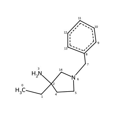 CCC1(N)CCN(Cc2ccccc2)C1